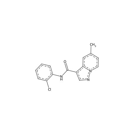 Cc1ccn2ncc(C(=O)Nc3ccccc3Cl)c2c1